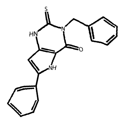 O=c1c2[nH]c(-c3ccccc3)cc2[nH]c(=S)n1Cc1ccccc1